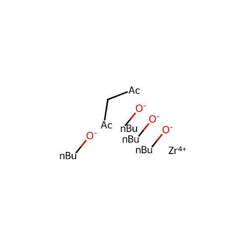 CC(=O)CC(C)=O.CCCC[O-].CCCC[O-].CCCC[O-].CCCC[O-].[Zr+4]